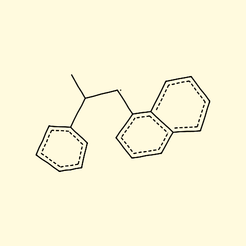 CC([CH]c1cccc2ccccc12)c1ccccc1